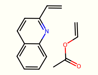 C=COC(C)=O.C=Cc1ccc2ccccc2n1